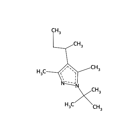 CCC(C)c1c(C)nn(C(C)(C)C)c1C